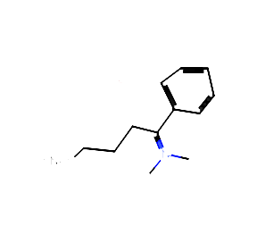 CCCCCCCCCCCCC(c1ccccc1)=[N+](C)C.[Br-]